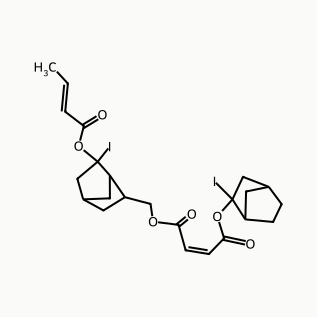 C/C=C/C(=O)OC1(I)CC2CC(COC(=O)/C=C\C(=O)OC3(I)CC4CCC3C4)C1C2